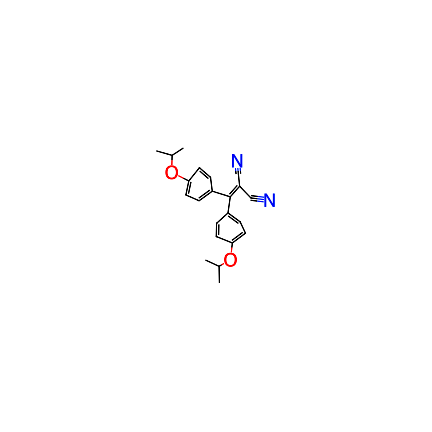 CC(C)Oc1ccc(C(=C(C#N)C#N)c2ccc(OC(C)C)cc2)cc1